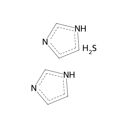 S.c1c[nH]cn1.c1c[nH]cn1